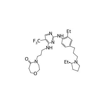 CCc1cc(CCCN2CCC[C@H]2CC)ccc1Nc1ncc(C(F)(F)F)c(NCCCN2CCOCCC2=O)n1